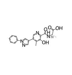 Cc1c(-c2cnn(-c3ccccc3)c2)cnc(C(=O)N[C@@H](C)C(=O)O)c1O